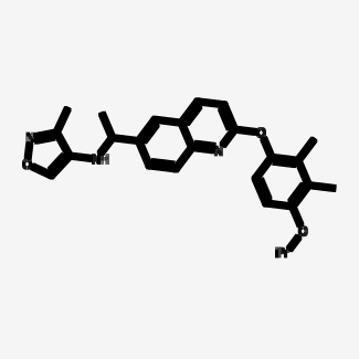 Cc1nocc1NC(C)c1ccc2nc(Oc3ccc(OC(C)C)c(C)c3C)ccc2c1